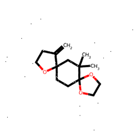 C=C1CCOC12CCC1(OCCO1)C(C)(C)C2